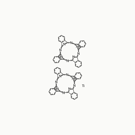 [Ti].c1ccc2c(c1)-c1nc-2nc2[nH]c(nc3nc(nc4[nH]c(n1)c1ccccc41)-c1ccccc1-3)c1ccccc21.c1ccc2c(c1)-c1nc-2nc2[nH]c(nc3nc(nc4[nH]c(n1)c1ccccc41)-c1ccccc1-3)c1ccccc21